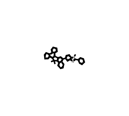 Cn1c(-c2ccccc2)nc2cc(-c3cc4c(c5ccccc35)C(C)(C)c3c-4c4ccccc4c4ccccc34)ccc21